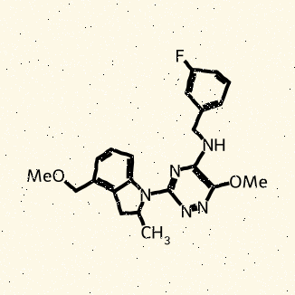 COCc1cccc2c1CC(C)N2c1nnc(OC)c(NCc2cccc(F)c2)n1